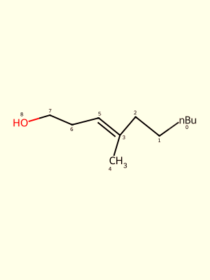 CCCCCC/C(C)=C/CCO